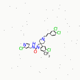 O=C(NCc1ccnc(Cl)c1)N1CC2(CCN(CC=Cc3ccc(Cl)c(Cl)c3)CC2)c2cc(Cl)c(C(F)(F)F)cc21